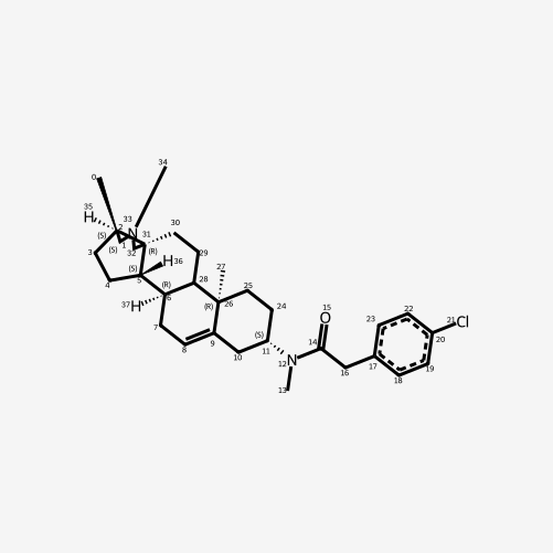 C[C@H]1[C@H]2CC[C@H]3[C@@H]4CC=C5C[C@@H](N(C)C(=O)Cc6ccc(Cl)cc6)CC[C@]5(C)C4CC[C@]23CN1C